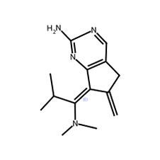 C=C1Cc2cnc(N)nc2/C1=C(\C(C)C)N(C)C